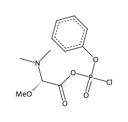 CO[C@@H](C(=O)OP(=O)(Cl)Oc1ccccc1)N(C)C